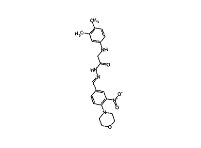 Cc1ccc(NCC(=O)NN=Cc2ccc(N3CCOCC3)c([N+](=O)[O-])c2)cc1C